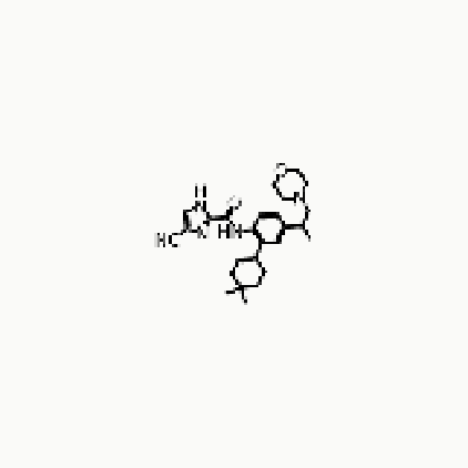 CC(CN1CCOCC1)c1ccc(NC(=O)c2nc(C#N)c[nH]2)c(C2=CCC(C)(C)CC2)c1